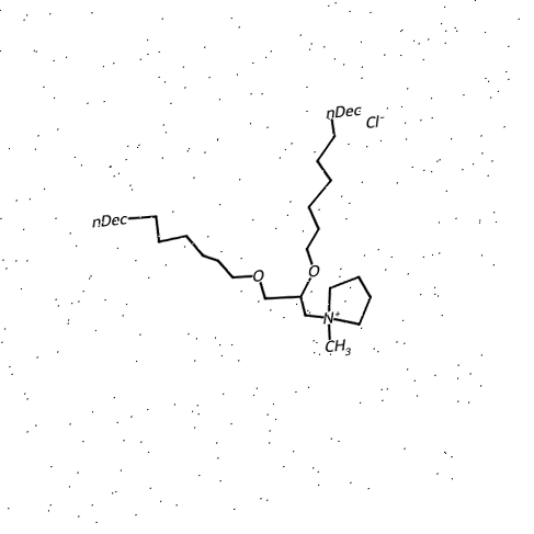 CCCCCCCCCCCCCCCCOCC(C[N+]1(C)CCCC1)OCCCCCCCCCCCCCCCC.[Cl-]